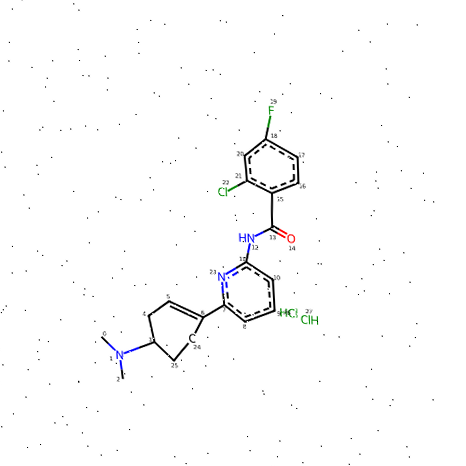 CN(C)C1CC=C(c2cccc(NC(=O)c3ccc(F)cc3Cl)n2)CC1.Cl.Cl